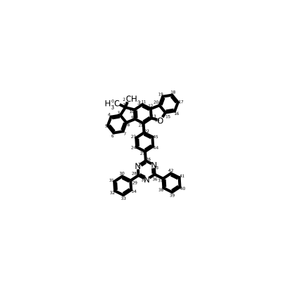 CC1(C)c2ccccc2-c2c1cc1c(oc3ccccc31)c2-c1ccc(-c2nc(-c3ccccc3)nc(-c3ccccc3)n2)cc1